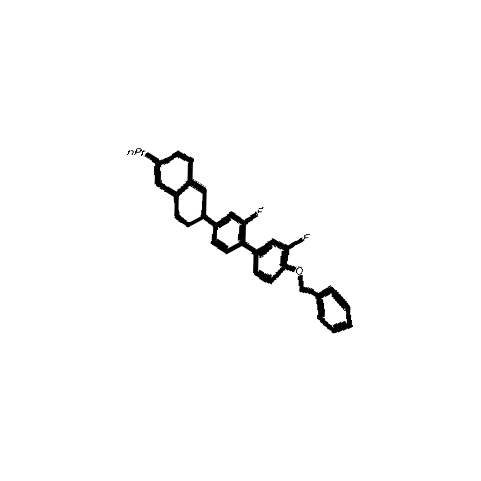 CCCC1CCC2CC(c3ccc(-c4ccc(OCc5ccccc5)c(F)c4)c(F)c3)CCC2C1